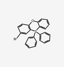 Brc1ccc2c(c1)S(c1ccccc1)(c1ccccc1)c1ccccc1O2